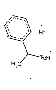 CC([TeH])c1ccccc1.[H+]